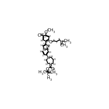 COc1cc(OCCCN(C)C)c(-c2cn3ccc(N4CCCN(C(=O)OC(C)(C)C)CC4)cc3n2)cc1Cl